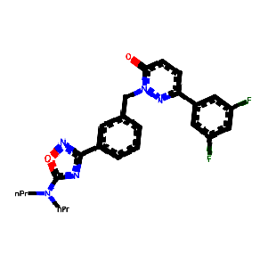 CCCN(CCC)c1nc(-c2cccc(Cn3nc(-c4cc(F)cc(F)c4)ccc3=O)c2)no1